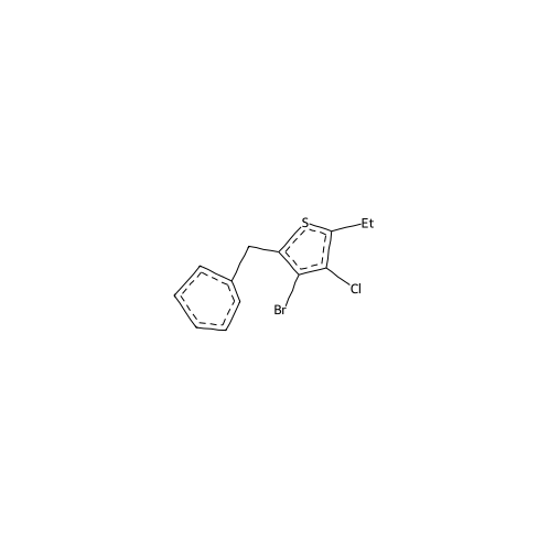 CCc1sc(Cc2ccccc2)c(Br)c1Cl